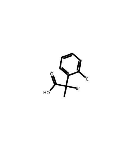 CC(Br)(C(=O)O)c1ccccc1Cl